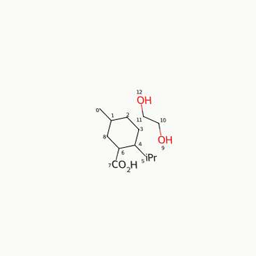 CC1CCC(C(C)C)C(C(=O)O)C1.OCCO